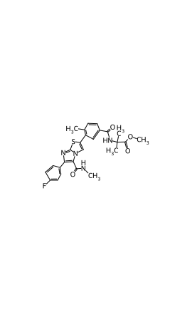 CNC(=O)c1c(-c2ccc(F)cc2)nc2sc(-c3cc(C(=O)NC(C)(C)C(=O)OC)ccc3C)cn12